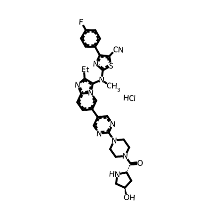 CCc1nc2ccc(-c3cnc(N4CCN(C(=O)[C@@H]5C[C@@H](O)CN5)CC4)nc3)cn2c1N(C)c1nc(-c2ccc(F)cc2)c(C#N)s1.Cl